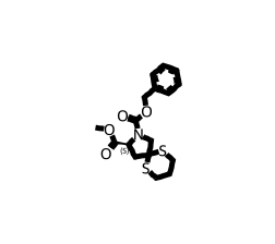 COC(=O)[C@@H]1CC2(CN1C(=O)OCc1ccccc1)SCCCS2